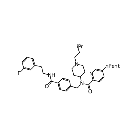 CCCCCc1ccc(C(=O)N(Cc2ccc(C(=O)NCCc3cccc(F)c3)cc2)C2CCN(CCC(C)C)CC2)nc1